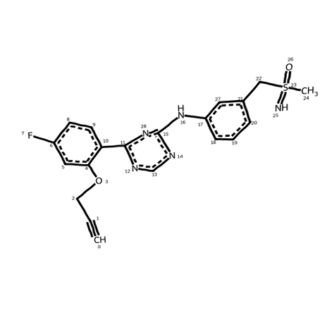 C#CCOc1cc(F)ccc1-c1ncnc(Nc2cccc(CS(C)(=N)=O)c2)n1